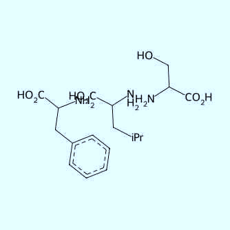 CC(C)CC(N)C(=O)O.NC(CO)C(=O)O.NC(Cc1ccccc1)C(=O)O